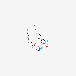 CCCCC[C@H]1CC[C@H](C(CC)Oc2cccc(F)c2)CC1.CCCCC[C@H]1CC[C@H](c2ccc(OC)c(F)c2)CC1